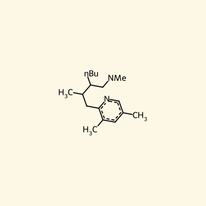 CCCCC(CNC)C(C)Cc1ncc(C)cc1C